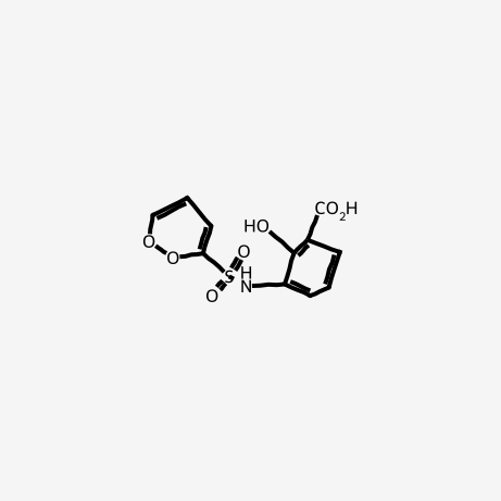 O=C(O)c1cccc(NS(=O)(=O)C2=CC=COO2)c1O